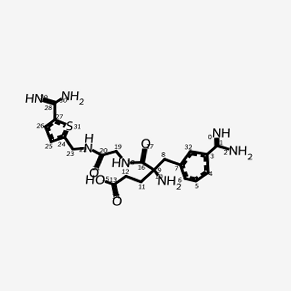 N=C(N)c1cccc(CC(N)(CCC(=O)O)C(=O)NCC(=O)NCc2ccc(C(=N)N)s2)c1